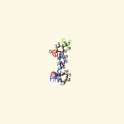 COc1ccc(C(F)(F)F)cc1N1CCN(CCn2c(=O)[nH]c3ccccc32)CC1